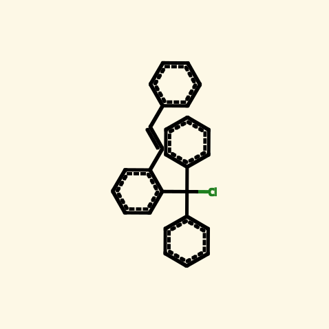 ClC(c1ccccc1)(c1ccccc1)c1ccccc1C=Cc1ccccc1